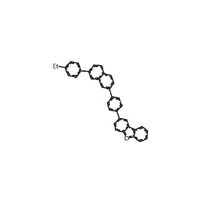 CCc1ccc(-c2ccc3ccc(-c4ccc(-c5ccc6oc7ccccc7c6c5)cc4)cc3c2)cc1